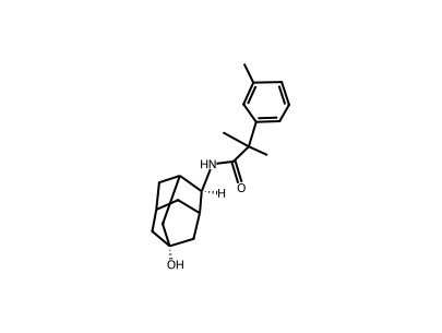 Cc1cccc(C(C)(C)C(=O)N[C@H]2C3CC4CC2C[C@](O)(C4)C3)c1